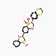 O=S1(=O)c2ccc(C3C[S+]([O-])c4ccccc4O3)cc2OCC1c1ccc2c(c1)SCCS2